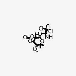 CO[C@@H]1C2OC(=O)O[C@@H]2[C@H](OC(=N)C(Cl)(Cl)Cl)OC1(C)C